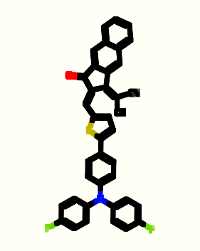 N#CC(C#N)=C1/C(=C\c2ccc(-c3ccc(N(c4ccc(F)cc4)c4ccc(F)cc4)cc3)s2)C(=O)c2cc3ccccc3cc21